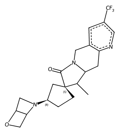 CC1C2Cc3ncc(C(F)(F)F)cc3CN2C(=O)[C@]12CC[C@@H](N1CC3OCC31)C2